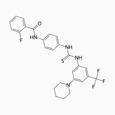 O=C(Nc1ccc(NC(=S)Nc2cc(N3CCCCC3)cc(C(F)(F)F)c2)cc1)c1ccccc1F